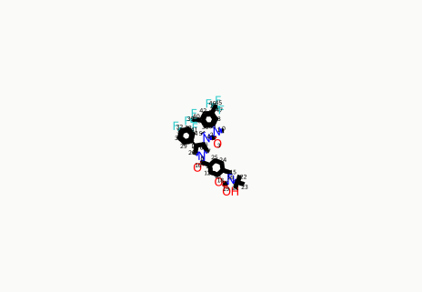 CN(C(=O)N(C)[C@@H]1CN(C(=O)C2CCC(CN(C(=O)O)C(C)(C)C)CC2)C[C@H]1c1ccc(F)cc1)c1cc(C(F)(F)F)cc(C(F)(F)F)c1